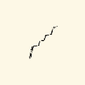 CC(=O)OCCCCCC=[N+]=[N-]